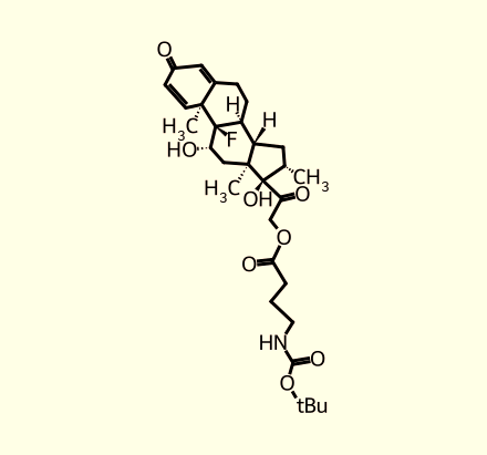 C[C@H]1C[C@H]2[C@@H]3CCC4=CC(=O)C=C[C@]4(C)[C@@]3(F)[C@@H](O)C[C@]2(C)[C@@]1(O)C(=O)COC(=O)CCCNC(=O)OC(C)(C)C